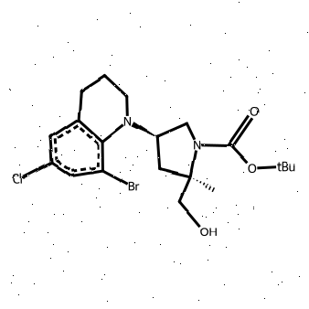 CC(C)(C)OC(=O)N1C[C@H](N2CCCc3cc(Cl)cc(Br)c32)C[C@]1(C)CO